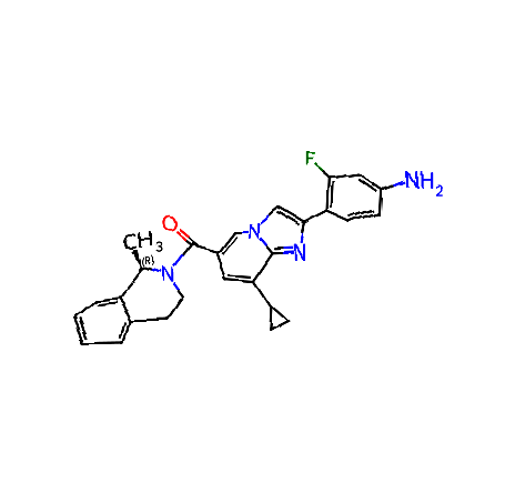 C[C@@H]1c2ccccc2CCN1C(=O)c1cc(C2CC2)c2nc(-c3ccc(N)cc3F)cn2c1